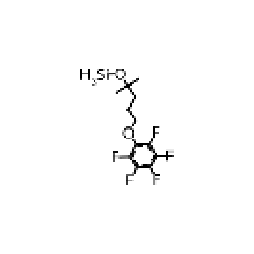 CC(C)(CCCOc1c(F)c(F)c(F)c(F)c1F)O[SiH3]